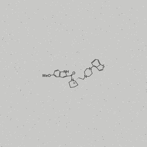 COc1ccc2[nH]c(C(=O)N3CCCC[C@H]3CCN3CCN(c4cccc5sccc45)CC3)cc2c1